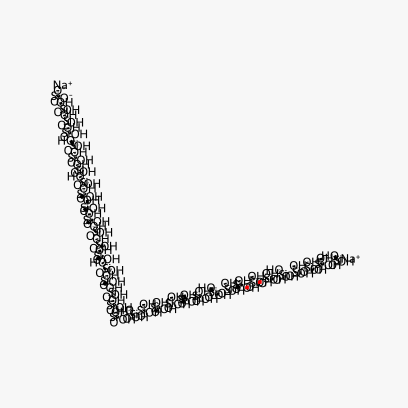 O=[Si](O)O.O=[Si](O)O.O=[Si](O)O.O=[Si](O)O.O=[Si](O)O.O=[Si](O)O.O=[Si](O)O.O=[Si](O)O.O=[Si](O)O.O=[Si](O)O.O=[Si](O)O.O=[Si](O)O.O=[Si](O)O.O=[Si](O)O.O=[Si](O)O.O=[Si](O)O.O=[Si](O)O.O=[Si](O)O.O=[Si](O)O.O=[Si](O)O.O=[Si](O)O.O=[Si](O)O.O=[Si](O)O.O=[Si](O)O.O=[Si](O)O.O=[Si](O)O.O=[Si](O)O.O=[Si](O)O.O=[Si](O)O.O=[Si](O)O.O=[Si](O)O.O=[Si](O)O.O=[Si](O)O.O=[Si](O)O.O=[Si]([O-])[O-].[Na+].[Na+]